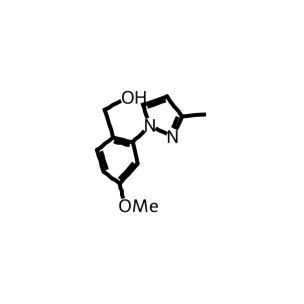 COc1ccc(CO)c(-n2ccc(C)n2)c1